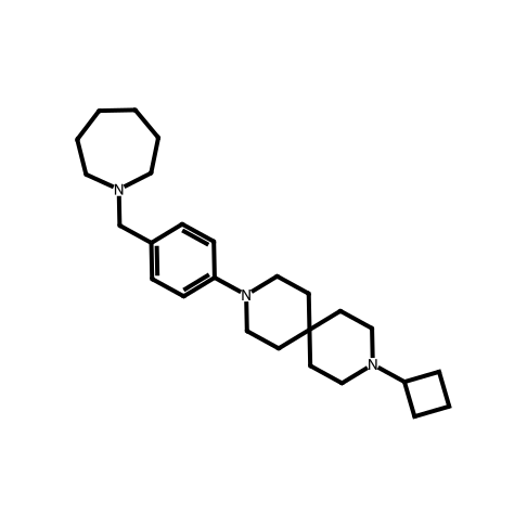 c1cc(N2CCC3(CC2)CCN(C2CCC2)CC3)ccc1CN1CCCCCC1